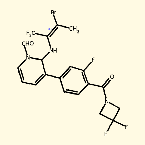 C/C(Br)=C(\NC1C(c2ccc(C(=O)N3CC(F)(F)C3)c(F)c2)=CC=CN1C=O)C(F)(F)F